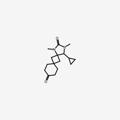 CN1C(=O)N(C)C2(CC3(CCC(=O)CC3)C2)C1C1CC1